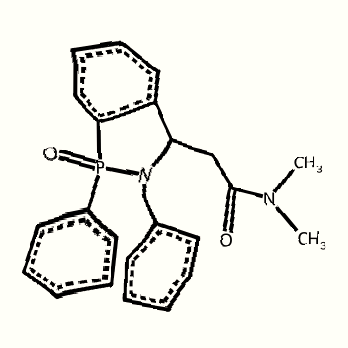 CN(C)C(=O)CC1c2ccccc2P(=O)(c2ccccc2)N1c1ccccc1